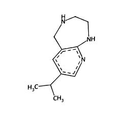 CC(C)c1cnc2c(c1)CNCCN2